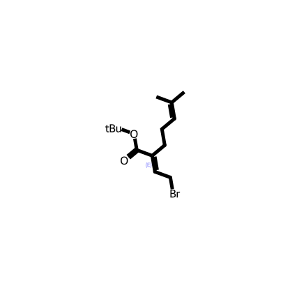 CC(C)=CCC/C(=C\CBr)C(=O)OC(C)(C)C